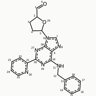 O=CC1CCC(n2cnc3c(NCc4ccccc4)nc(-c4ccccn4)nc32)O1